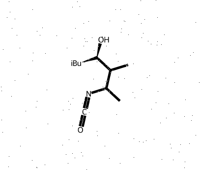 CC[C@H](C)[C@@H](O)C(C)C(C)N=C=O